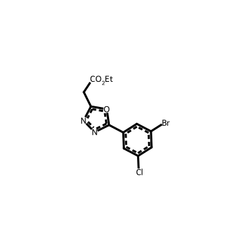 CCOC(=O)Cc1nnc(-c2cc(Cl)cc(Br)c2)o1